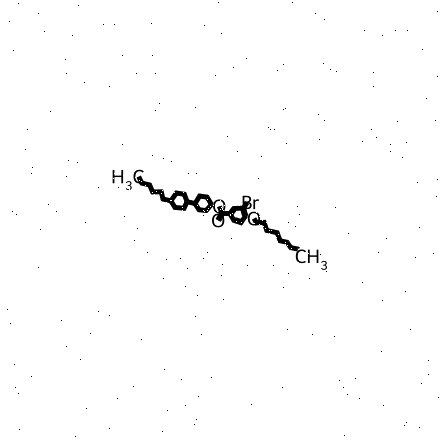 CCCCCCCCCOc1ccc(C(=O)OC2CCC(C3CCC(CCCCCC)CC3)CC2)cc1Br